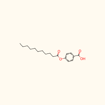 CCCCCCCCCCC(=O)Oc1ccc(C(=O)O)cc1